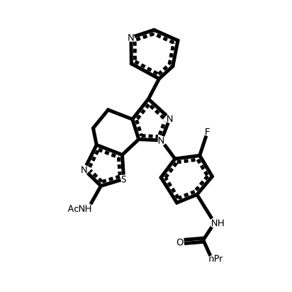 CCCC(=O)Nc1ccc(-n2nc(-c3cccnc3)c3c2-c2sc(NC(C)=O)nc2CC3)c(F)c1